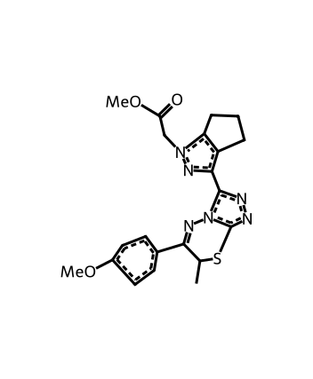 COC(=O)Cn1nc(-c2nnc3n2N=C(c2ccc(OC)cc2)C(C)S3)c2c1CCC2